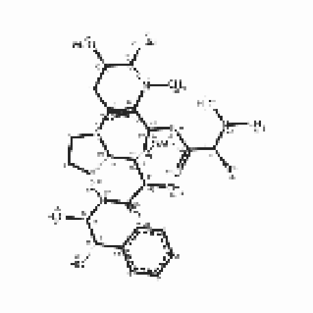 CC[C@H](C)[C@@H]([C@@H](CC(=O)N1CCC[C@H]1[C@H](OC)[C@@H](C)C(=O)N(C)[C@H](C)[C@@H](O)c1ccccc1)OC)N(C)C(=O)[C@@H](NC(=O)[C@H](C(C)C)N(C)C)C(C)C